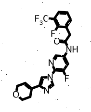 O=C(Cc1cccc(C(F)(F)F)c1F)Nc1cnc(-n2cnc(C3=CCOCC3)c2)c(F)c1